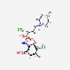 Cc1cc(O)c(NS(=O)(=O)CCC[N+]2(C)CCN(C)CC2)cc1Cl.[Cl-]